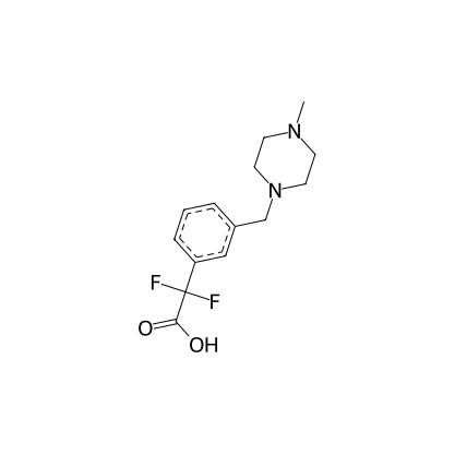 CN1CCN(Cc2cccc(C(F)(F)C(=O)O)c2)CC1